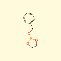 c1ccc(COP2OCCO2)cc1